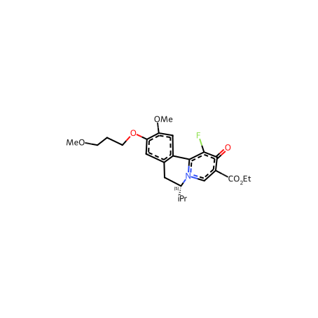 CCOC(=O)c1cn2c(c(F)c1=O)-c1cc(OC)c(OCCCOC)cc1C[C@H]2C(C)C